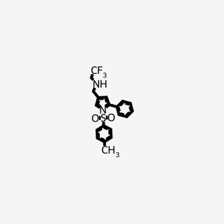 Cc1ccc(S(=O)(=O)n2cc(CNCC(F)(F)F)cc2-c2ccccc2)cc1